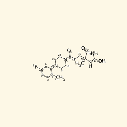 Cc1ccc(F)cc1N1CCN(C(=O)CCC2(C)NC(O)NC2=O)CC1